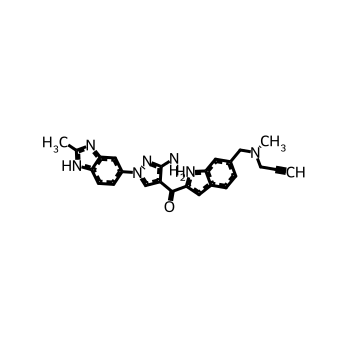 C#CCN(C)Cc1ccc2cc(C(=O)c3cn(-c4ccc5[nH]c(C)nc5c4)nc3N)[nH]c2c1